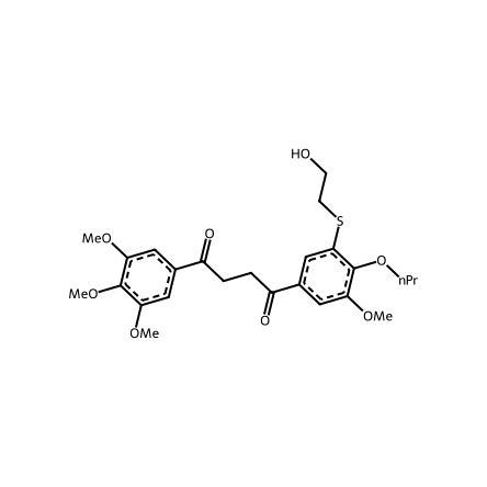 CCCOc1c(OC)cc(C(=O)CCC(=O)c2cc(OC)c(OC)c(OC)c2)cc1SCCO